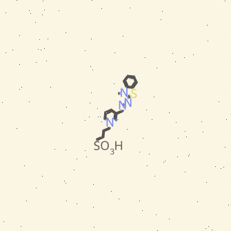 Cn1c(=NN=Cc2ccc[n+](CCCCS(=O)(=O)O)c2)sc2ccccc21